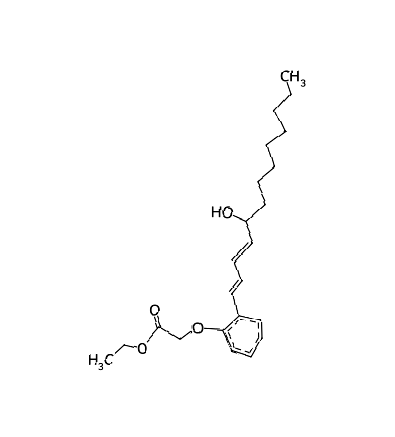 CCCCCCCCC(O)C=CC=Cc1ccccc1OCC(=O)OCC